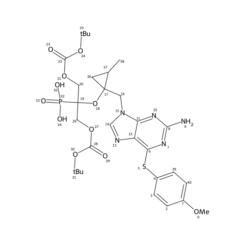 COc1ccc(Sc2nc(N)nc3c2ncn3CC2(OC(COC(=O)OC(C)(C)C)(COC(=O)OC(C)(C)C)P(=O)(O)O)CC2C)cc1